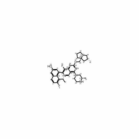 CCc1c(F)ccc2cc(O)cc(-c3ncc4c(N5CCN[C@H](C)C5)nc(OC[C@@]56CCCN5C[C@H](C)C6)nc4c3F)c12